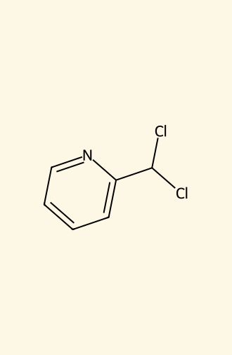 ClC(Cl)c1ccccn1